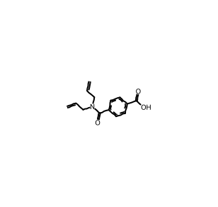 C=CCN(CC=C)C(=O)c1ccc(C(=O)O)cc1